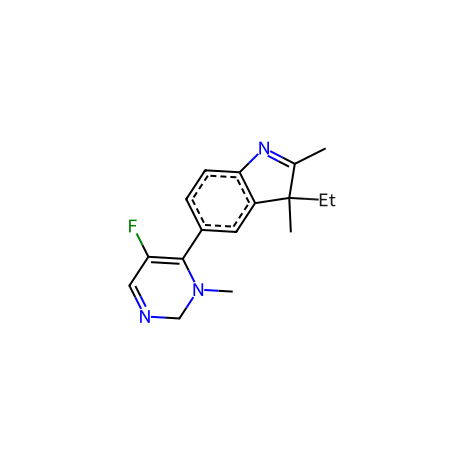 CCC1(C)C(C)=Nc2ccc(C3=C(F)C=NCN3C)cc21